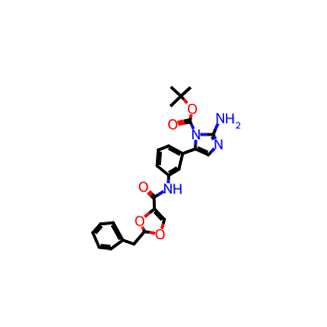 CC(C)(C)OC(=O)n1c(-c2cccc(NC(=O)C3=COC(Cc4ccccc4)O3)c2)cnc1N